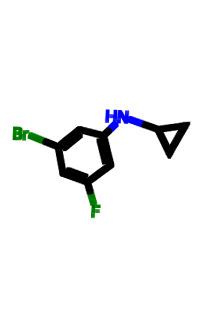 Fc1cc(Br)cc(NC2CC2)c1